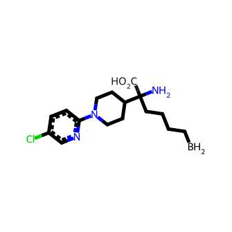 BCCCCC(N)(C(=O)O)C1CCN(c2ccc(Cl)cn2)CC1